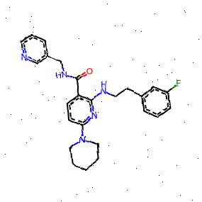 O=C(NCc1cccnc1)c1ccc(N2CCCCC2)nc1NCCc1cccc(F)c1